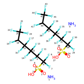 N.N.O=S(=O)(O)C(F)(F)C(F)(F)C(F)(F)C(F)(F)C(F)C(F)(F)F.O=S(=O)(O)C(F)(F)C(F)(F)C(F)(F)C(F)(F)C(F)C(F)(F)F